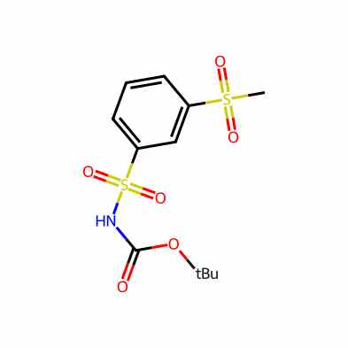 CC(C)(C)OC(=O)NS(=O)(=O)c1cccc(S(C)(=O)=O)c1